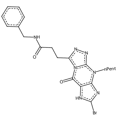 CCCCCn1c2nc(Br)[nH]c2c(=O)n2c(CCC(=O)NCc3ccccc3)nnc12